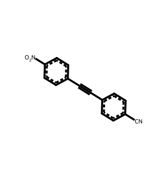 N#Cc1ccc(C#Cc2ccc([N+](=O)[O-])cc2)cc1